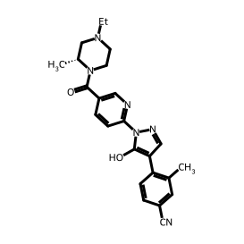 CCN1CCN(C(=O)c2ccc(-n3ncc(-c4ccc(C#N)cc4C)c3O)nc2)[C@H](C)C1